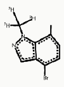 [2H]C([2H])([2H])n1ncc2c(Br)ccc(C)c21